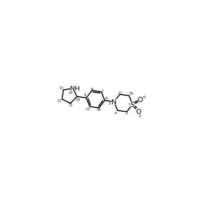 O=S1(=O)CCN(c2ccc(C3CCCN3)cc2)CC1